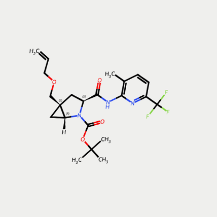 C=CCOC[C@@]12C[C@@H](C(=O)Nc3nc(C(F)(F)F)ccc3C)N(C(=O)OC(C)(C)C)[C@@H]1C2